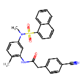 Cc1ccc(N(C)S(=O)(=O)c2cccc3ccccc23)cc1NC(=O)Cc1ccc(C#N)cc1